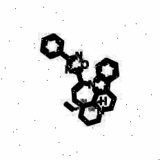 CC[C@@]12CC=C(c3nc(-c4ccccc4)no3)n3c4c(c5ccccc53)CCN(CCC1)[C@H]42